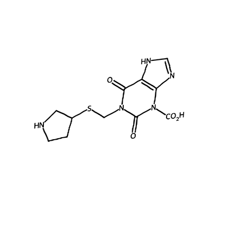 O=C(O)n1c(=O)n(CSC2CCNC2)c(=O)c2[nH]cnc21